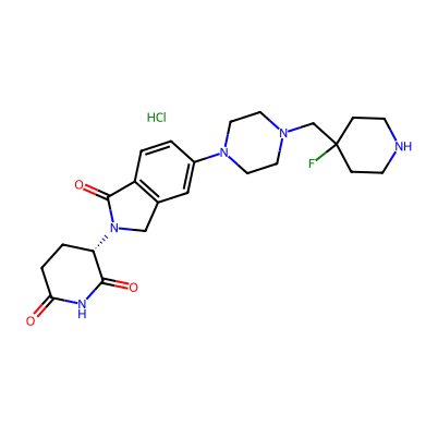 Cl.O=C1CC[C@H](N2Cc3cc(N4CCN(CC5(F)CCNCC5)CC4)ccc3C2=O)C(=O)N1